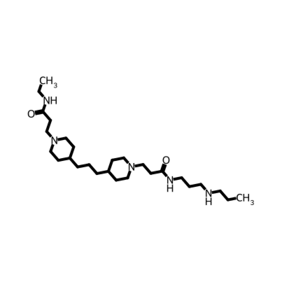 CCCNCCCNC(=O)CCN1CCC(CCCC2CCN(CCC(=O)NCC)CC2)CC1